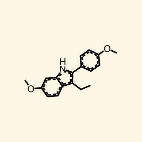 CCc1c(-c2ccc(OC)cc2)[nH]c2cc(OC)ccc12